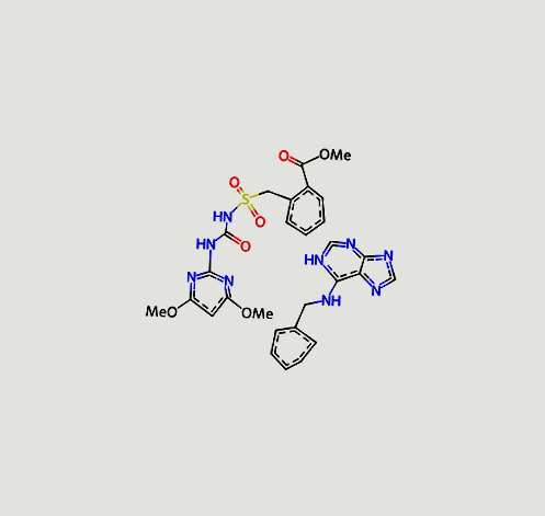 COC(=O)c1ccccc1CS(=O)(=O)NC(=O)Nc1nc(OC)cc(OC)n1.c1ccc(CNc2[nH]cnc3ncnc2-3)cc1